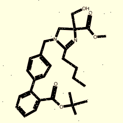 CCCCC1=NC(CO)(C(=O)OC)CN1Cc1ccc(-c2ccccc2C(=O)OC(C)(C)C)cc1